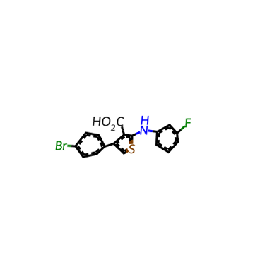 O=C(O)c1c(-c2ccc(Br)cc2)csc1Nc1cccc(F)c1